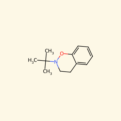 CC(C)(C)N1CCc2ccccc2O1